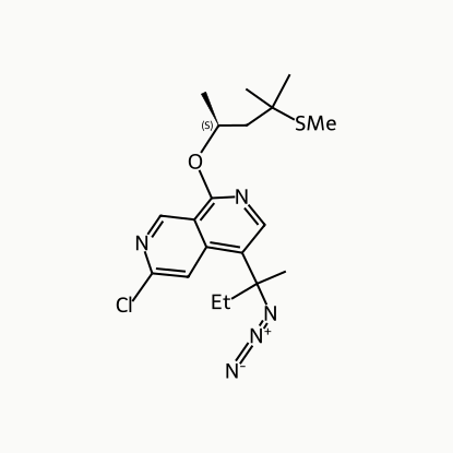 CCC(C)(N=[N+]=[N-])c1cnc(O[C@@H](C)CC(C)(C)SC)c2cnc(Cl)cc12